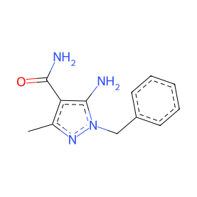 Cc1nn(Cc2ccccc2)c(N)c1C(N)=O